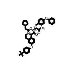 CC(C)(C)c1ccc(Oc2ccc3c(c2)CCN(C(=O)CC2CCCC2)C3C(=O)N[C@@H](Cc2ccc(Oc3ccccc3)cc2)C(=O)O)cc1